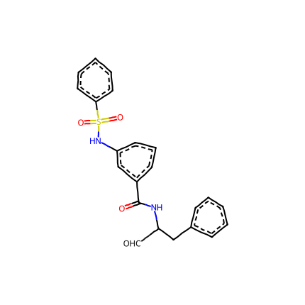 O=CC(Cc1ccccc1)NC(=O)c1cccc(NS(=O)(=O)c2ccccc2)c1